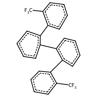 FC(F)(F)c1ccccc1-c1ccccc1-c1ccccc1-c1ccccc1C(F)(F)F